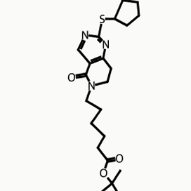 CC(C)(C)OC(=O)CCCCCN1CCc2nc(SC3CCCC3)ncc2C1=O